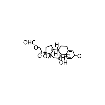 C[C@]12C=CC(=O)C=C1CC[C@@H]1[C@@H]2[C@@H](O)C[C@@]2(C)[C@H]1CC[C@]2(O)C(=O)COC=O